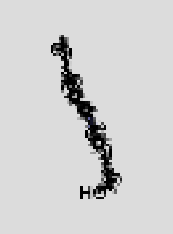 C=CC(=O)OCCCCOC(=O)Oc1ccc(-c2ccc(/C=C/C(=O)Oc3ccc(OCCCCOC(=O)C(=C)CO)cc3)cc2)cc1